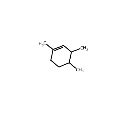 CC1=CC(C)C(C)CC1